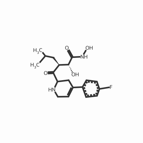 CC(C)C[C@H](C(=O)C1CC(c2ccc(F)cc2)=CCN1)[C@@H](O)C(=O)NO